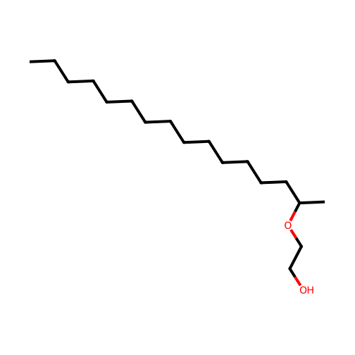 CCCCCCCCCCCCCCC(C)OCCO